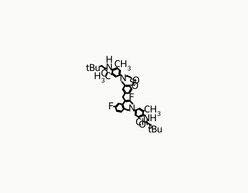 Cc1cc(N2CC=C(Cc3cc4c(cc3F)S(=O)(=O)CCN(c3cc(C)c(NC(=O)CC(C)(C)C)c(C)c3)C4)c3cc(F)ccc3C2)cc(C)c1NC(=O)CC(C)(C)C